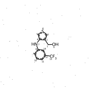 OCc1cscc1Nc1cccc(C(F)(F)F)c1